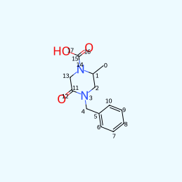 CC1CN(Cc2ccccc2)C(=O)CN1C(=O)O